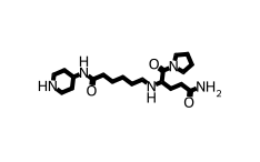 NC(=O)CCC(NCCCCCC(=O)NC1CCNCC1)C(=O)N1CCCC1